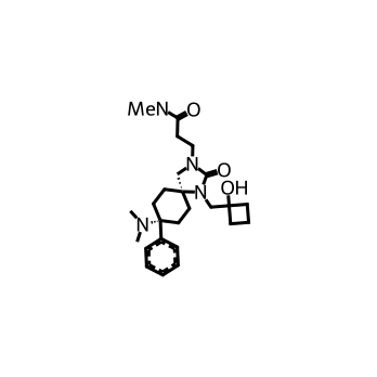 CNC(=O)CCN1C[C@]2(CC[C@@](c3ccccc3)(N(C)C)CC2)N(CC2(O)CCC2)C1=O